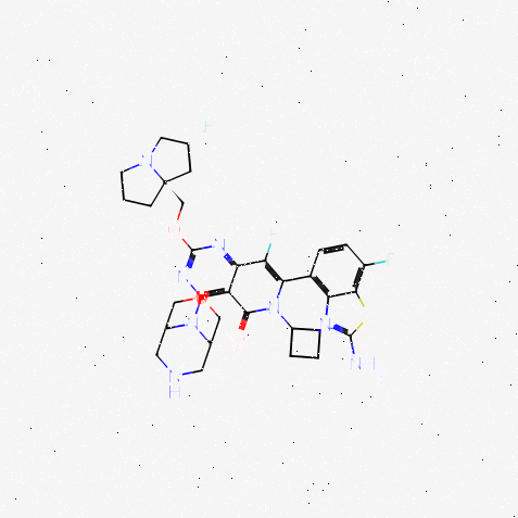 Nc1nc2c(-c3c(F)c4nc(OC[C@@]56CCCN5C[C@H](F)C6)nc(N5C6CNCC5COC6)c4c(=O)n3C3CCC3)ccc(F)c2s1